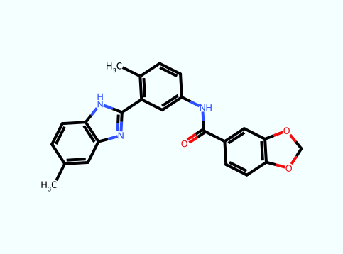 Cc1ccc2[nH]c(-c3cc(NC(=O)c4ccc5c(c4)OCO5)ccc3C)nc2c1